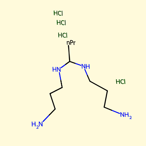 CCCC(NCCCN)NCCCN.Cl.Cl.Cl.Cl